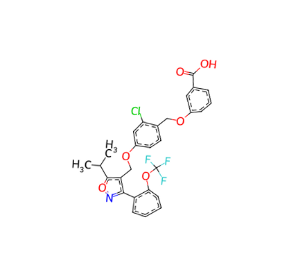 CC(C)c1onc(-c2ccccc2OC(F)(F)F)c1COc1ccc(COc2cccc(C(=O)O)c2)c(Cl)c1